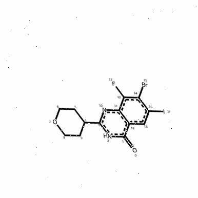 O=c1[nH]c(C2CCOCC2)nc2c(F)c(Br)c(I)cc12